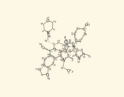 Cc1c(C(=O)N(c2ccc(O)cc2)c2cnn(C)c2)cc(-c2cc3c(cc2C(=O)N2Cc4ccccc4C[C@H]2CN2CCOCC2)OCO3)n1CC(F)(F)F